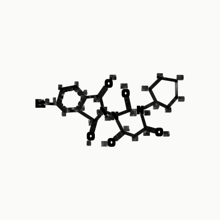 CCc1ccc2c(c1)C(=O)N(N1C(=O)CC(=O)N(C3CCCCC3)C1=O)C2=O